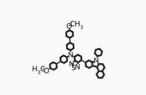 COc1ccc(-c2ccc(N(c3ccc(-c4ccc(OC)cc4)cc3)c3ccc(-c4ccc5c6c7ccccc7ccc6n(-c6ccccc6)c5c4)c4nsnc34)cc2)cc1